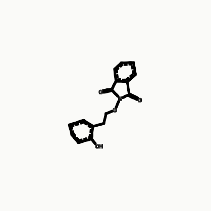 O=C1c2ccccc2C(=O)N1OCCc1ccccc1O